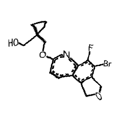 OCC1(COc2ccc3c4c(c(Br)c(F)c3n2)COC4)CC1